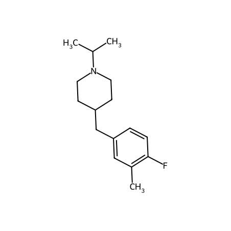 Cc1cc(CC2CCN(C(C)C)CC2)ccc1F